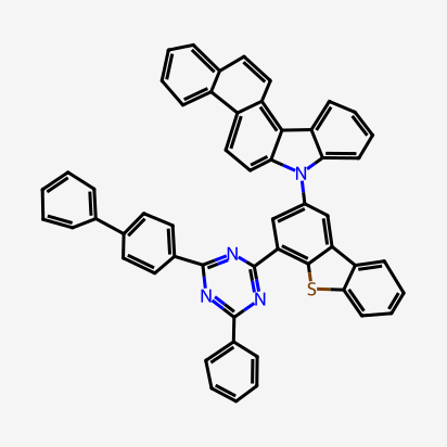 c1ccc(-c2ccc(-c3nc(-c4ccccc4)nc(-c4cc(-n5c6ccccc6c6c7ccc8ccccc8c7ccc65)cc5c4sc4ccccc45)n3)cc2)cc1